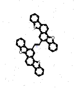 C(=C\c1cc2c(ccc3c4ccccc4sc32)c2oc3ccccc3c12)/c1cc2c(ccc3c4ccccc4sc32)c2oc3ccccc3c12